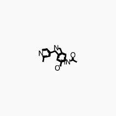 CC(=O)Nc1cc2c(cc1C=O)C(c1ccnc(C)c1)=NC2